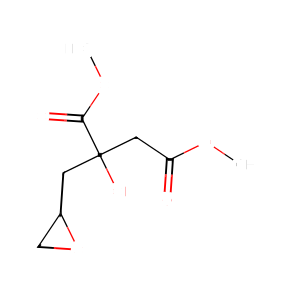 COC(=O)CC(O)(CC1CO1)C(=O)OC